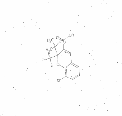 CC(C)(C)C1(C(F)(F)F)Oc2c(Cl)cccc2C=C1C(=O)O